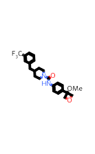 COC1(c2ccc(NC(=O)N3CCC(Cc4cccc(C(F)(F)F)c4)CC3)cc2)COC1